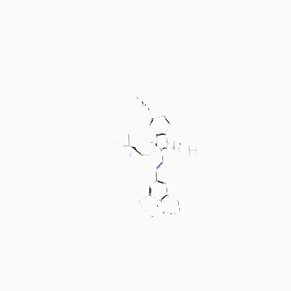 [C-]#[N+]c1ccc2c(c1)C(C)(C/C=C/Br)C(/C=C/c1cc3c4c(c1)CCCN4CCC3)=[N+]2C